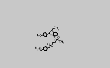 CCC(CC(C)c1ccc(O)cc1)c1ccc(OC(C)OCCOC(=O)Cc2ccc(OC)cc2)cc1